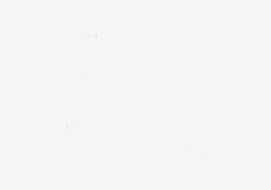 CC(C)(C)CCCCCc1cc(CCCCCC2(C)CC2)ccc1O